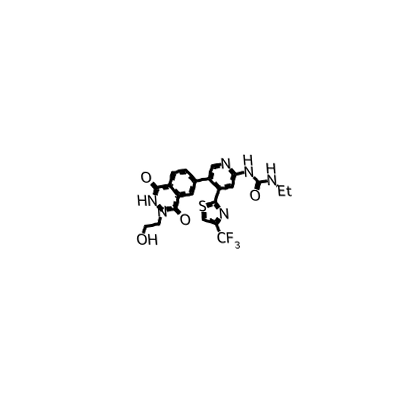 CCNC(=O)Nc1cc(-c2nc(C(F)(F)F)cs2)c(-c2ccc3c(=O)[nH]n(CCO)c(=O)c3c2)cn1